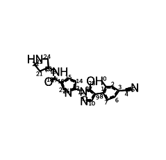 Cc1cc(C#N)ccc1-c1cnn(-c2ccc(C(=O)N[C@H]3CCNC3)cn2)c1O